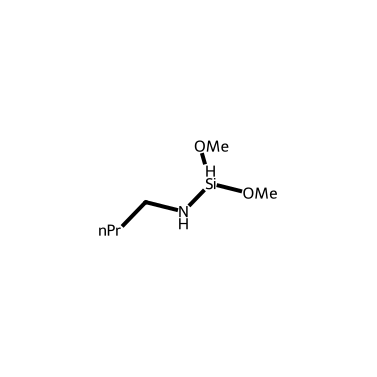 CCCCN[SiH](OC)OC